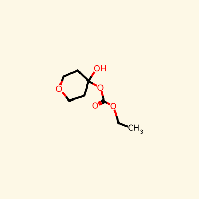 CCOC(=O)OC1(O)CCOCC1